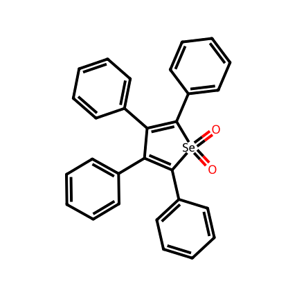 O=[Se]1(=O)C(c2ccccc2)=C(c2ccccc2)C(c2ccccc2)=C1c1ccccc1